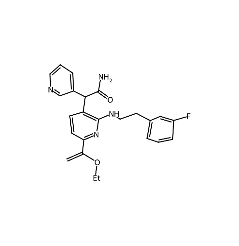 C=C(OCC)c1ccc(C(C(N)=O)c2cccnc2)c(NCCc2cccc(F)c2)n1